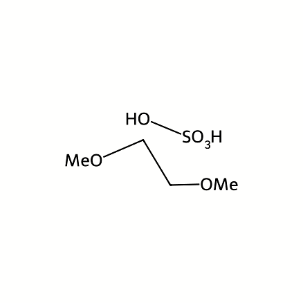 COCCOC.O=S(=O)(O)O